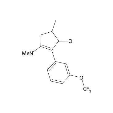 CNC1=C(c2cccc(OC(F)(F)F)c2)C(=O)C(C)C1